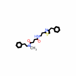 CN(CCc1ccccc1)C(=O)CCC(=O)NCCc1nc(Cc2ccccc2)cs1